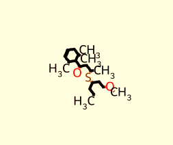 CCCC(CCOC)SC(C)CC(=O)C1C(C)C=CCC1(C)C